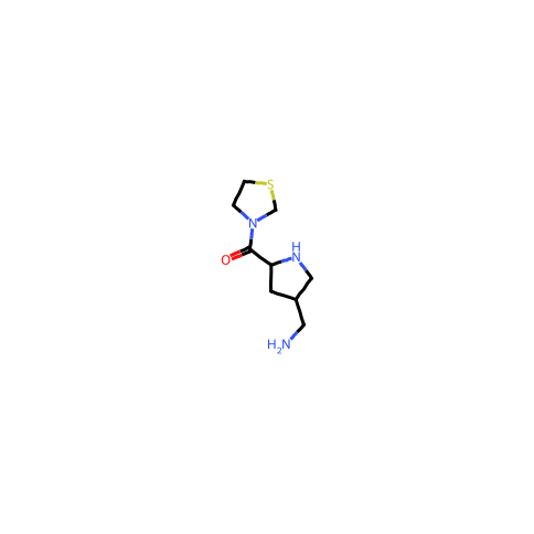 NCC1CNC(C(=O)N2CCSC2)C1